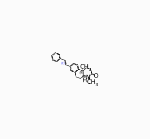 CN1C(=O)CC[C@]2(C)c3ccc(/C=C/c4ccccc4)cc3CC[C@@H]12